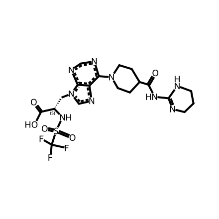 O=C(NC1=NCCCN1)C1CCN(c2ncnc3c2ncn3C[C@H](NS(=O)(=O)C(F)(F)F)C(=O)O)CC1